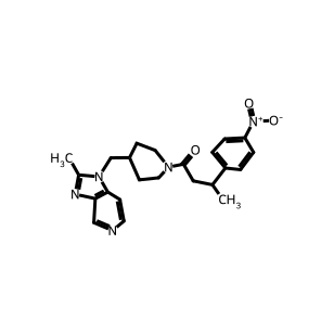 Cc1nc2cnccc2n1CC1CCN(C(=O)CC(C)c2ccc([N+](=O)[O-])cc2)CC1